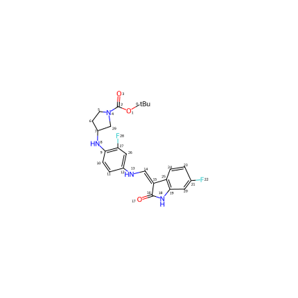 CC(C)(C)OC(=O)N1CCC(Nc2ccc(N/C=C3\C(=O)Nc4cc(F)ccc43)cc2F)C1